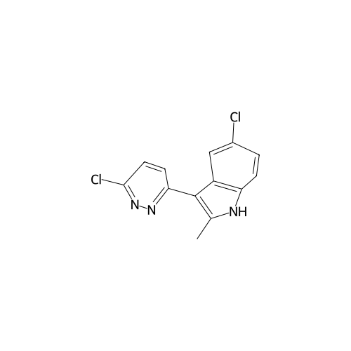 Cc1[nH]c2ccc(Cl)cc2c1-c1ccc(Cl)nn1